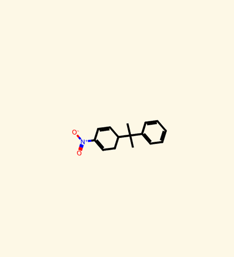 CC(C)(c1ccccc1)C1C=CC([N+](=O)[O-])=CC1